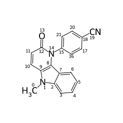 Cn1c2ccccc2c2c1ccc(=O)n2-c1ccc(C#N)cc1